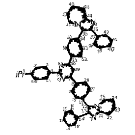 CC(C)c1ccc(-c2nc(-c3ccc(-c4c(-c5ccccc5)nc5ccccn45)cc3)cc(-c3ccc(-c4c(-c5ccccc5)nc5ccccn45)cc3)n2)cc1